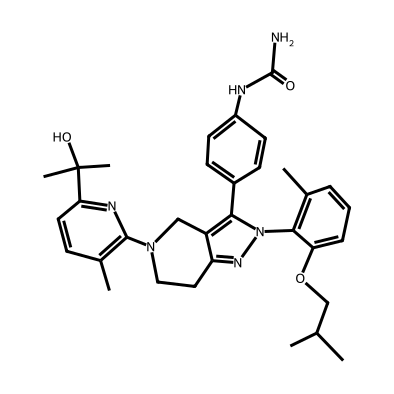 Cc1ccc(C(C)(C)O)nc1N1CCc2nn(-c3c(C)cccc3OCC(C)C)c(-c3ccc(NC(N)=O)cc3)c2C1